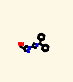 OCc1cnn(C2CN(C(c3ccccc3)c3ccccc3)C2)c1